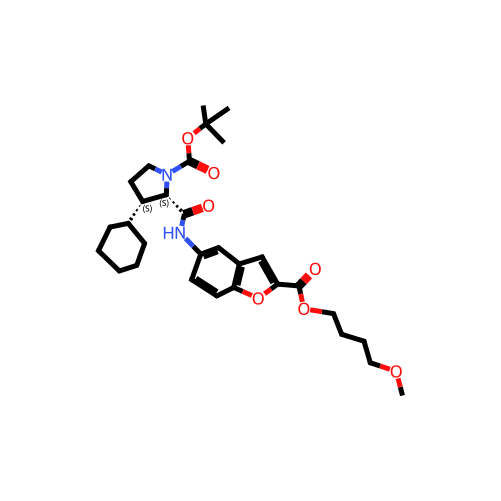 COCCCCOC(=O)c1cc2cc(NC(=O)[C@@H]3[C@H](C4CCCCC4)CCN3C(=O)OC(C)(C)C)ccc2o1